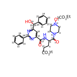 CCOC(=O)ON1CCN(C(=O)C(CCC(=O)O)NC(=O)c2cc([C@@H](O)c3ccccc3)nc(-c3ccccc3)n2)CC1